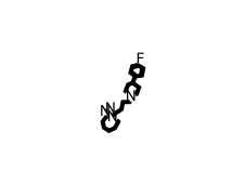 Fc1ccc(C2CCN(CCCc3nnc4n3CCCCC4)CC2)cc1